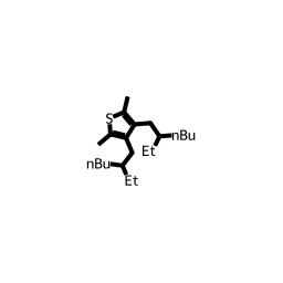 CCCCC(CC)Cc1c(C)sc(C)c1CC(CC)CCCC